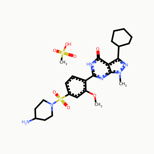 COc1cc(S(=O)(=O)N2CCC(N)CC2)ccc1-c1nc2c(c(C3CCCCC3)nn2C)c(=O)[nH]1.CS(=O)(=O)O